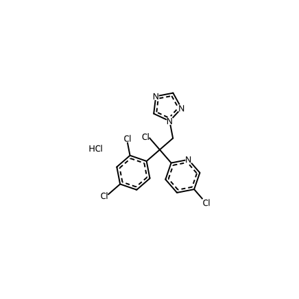 Cl.Clc1ccc(C(Cl)(Cn2cncn2)c2ccc(Cl)cc2Cl)nc1